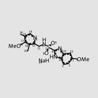 COc1ccc2[nH]c(S(=O)(=O)NCc3ncc(C)c(OC)c3C)nc2c1.[NaH]